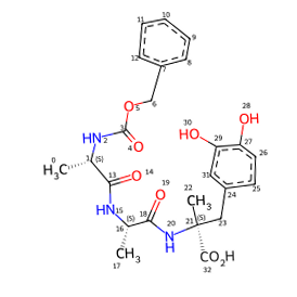 C[C@H](NC(=O)OCc1ccccc1)C(=O)N[C@@H](C)C(=O)N[C@@](C)(Cc1ccc(O)c(O)c1)C(=O)O